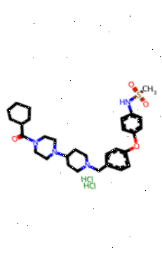 CS(=O)(=O)Nc1ccc(Oc2ccc(CN3CCC(N4CCN(C(=O)C5CCCCC5)CC4)CC3)cc2)cc1.Cl.Cl